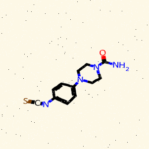 NC(=O)N1CCN(c2ccc(N=C=S)cc2)CC1